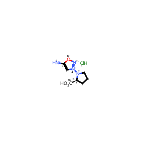 Cl.[NH-]c1c[n+](N2CCC[C@H]2C(=O)O)no1